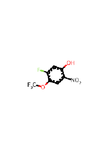 O=[N+]([O-])c1cc(OC(F)(F)F)c(F)cc1O